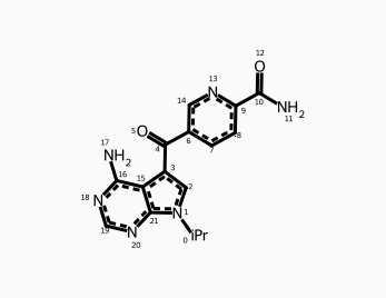 CC(C)n1cc(C(=O)c2c[c]c(C(N)=O)nc2)c2c(N)ncnc21